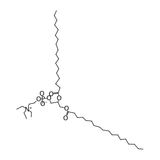 CCCCCCCCCCCCCCCCCC(=O)OCC(COP(=O)([O-])OCC[N+](CC)(CC)CC)OC(=O)CCCCCCCCCCCCCCCCC